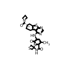 Cc1cc(Nc2ncnc3sc4c(c23)CC[C@H](C(=O)N2CCC2)C4)c(=O)n2c1C(=O)NC21CSC1